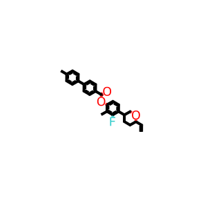 C=CC1CCC(c2ccc(OC(=O)c3ccc(-c4ccc(C)cc4)cc3)c(C)c2F)CO1